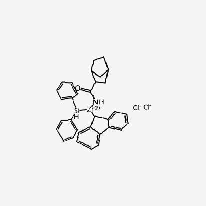 O=C([NH][Zr+2]([CH]1c2ccccc2-c2ccccc21)[SiH](c1ccccc1)c1ccccc1)C1CC2CCC1C2.[Cl-].[Cl-]